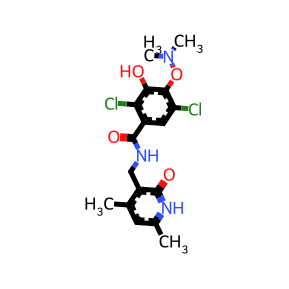 Cc1cc(C)c(CNC(=O)c2cc(Cl)c(ON(C)C)c(O)c2Cl)c(=O)[nH]1